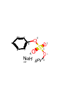 CC(C)OS(=O)(=O)Oc1ccccc1.[NaH]